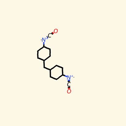 O=C=[N+]C1CCC(CC2CCC([N+]=C=O)CC2)CC1